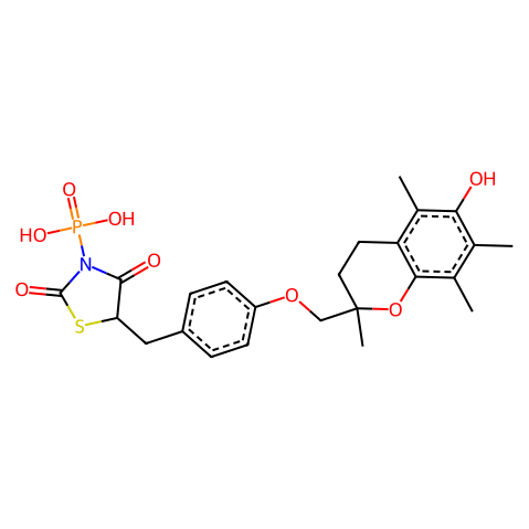 Cc1c(C)c2c(c(C)c1O)CCC(C)(COc1ccc(CC3SC(=O)N(P(=O)(O)O)C3=O)cc1)O2